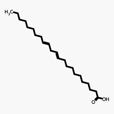 CCCCCCCCC=CCC=CCCCCCCCCCC(=O)O